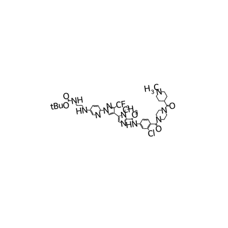 CN1CCC(C(=O)N2CCN(C(=O)c3ccc(NC(=O)c4ncc(-c5cn(-c6ccc(NCCNC(=O)OC(C)(C)C)cn6)nc5C(F)(F)F)n4C)cc3Cl)CC2)CC1